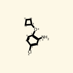 Nc1cc(Cl)ccc1OC1CCC1